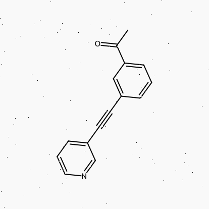 CC(=O)c1cccc(C#Cc2cccnc2)c1